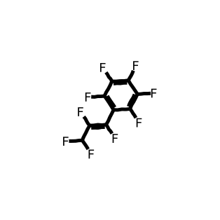 F[C](F)C(F)=C(F)c1c(F)c(F)c(F)c(F)c1F